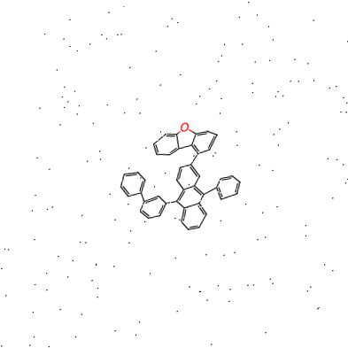 c1ccc(-c2cccc(-c3c4ccccc4c(-c4ccccc4)c4cc(-c5cccc6oc7ccccc7c56)ccc34)c2)cc1